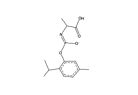 Cc1ccc(C(C)C)c(O/[P+]([O-])=N/C(C)C(=O)O)c1